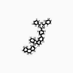 c1ccc(-c2nc(-c3ccccc3)nc(-c3ccc(-c4ccc5ccc6c(c5c4)c4ccccc4n6-c4ccc5ccc6ccccc6c5c4)cc3)n2)cc1